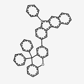 c1ccc(-n2c3ccc(-c4ccc5c(c4)C(c4ccccc4)(c4ccccc4)c4ccccc4O5)cc3c3cc4ccccc4cc32)cc1